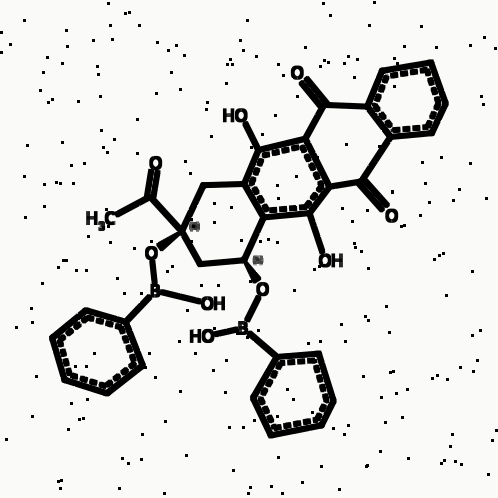 CC(=O)[C@]1(OB(O)c2ccccc2)Cc2c(O)c3c(c(O)c2[C@@H](OB(O)c2ccccc2)C1)C(=O)c1ccccc1C3=O